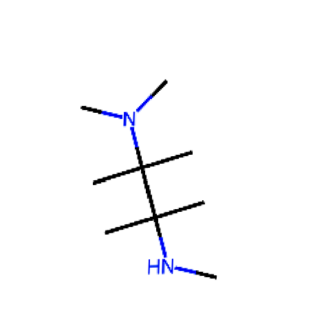 CNC(C)(C)C(C)(C)N(C)C